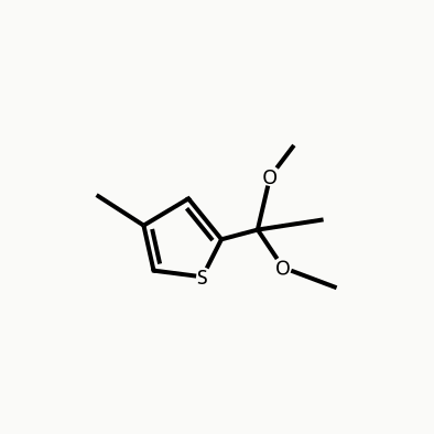 COC(C)(OC)c1cc(C)cs1